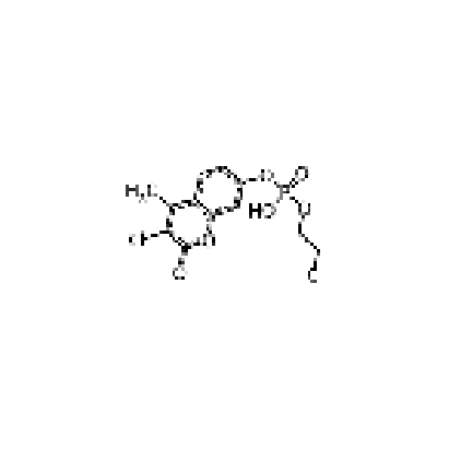 Cc1c(Cl)c(=O)oc2cc(OP(=O)(O)OCCCl)ccc12